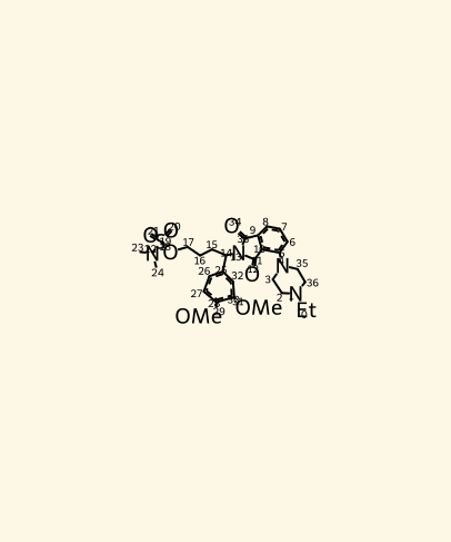 CCN1CCN(c2cccc3c2C(=O)N(C(CCCOS(=O)(=O)N(C)C)c2ccc(OC)c(OC)c2)C3=O)CC1